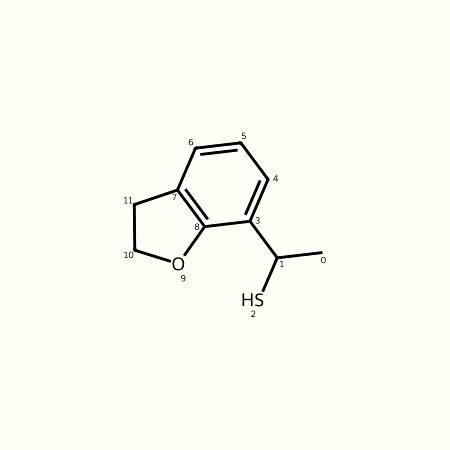 CC(S)c1cccc2c1OCC2